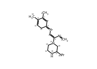 C=N/C(=C\N=C1\C=C(C)C(C)=CC1)N1CCNC(C(C)C)C1